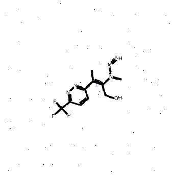 C/C(=C(/CO)N(C)N=N)c1ccc(C(F)(F)F)nn1